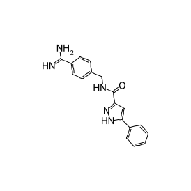 N=C(N)c1ccc(CNC(=O)c2cc(-c3ccccc3)[nH]n2)cc1